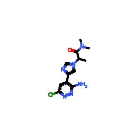 CC(C(=O)N(C)C)n1cnc(-c2cc(Cl)nnc2N)c1